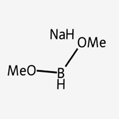 COBOC.[NaH]